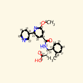 COc1cc(C(=O)N[C@@H](CC(=O)O)c2ccccc2C)cc(-c2cccnc2)n1